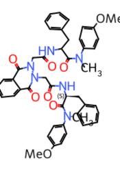 COc1ccc(N(C)C(=O)C(Cc2ccccc2)NC(=O)Cn2c(=O)c3ccccc3c(=O)n2CC(=O)N[C@@H](Cc2ccccc2)C(=O)N(C)c2ccc(OC)cc2)cc1